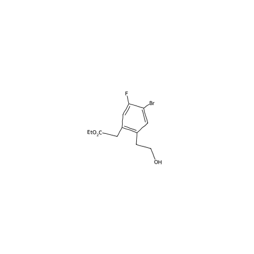 CCOC(=O)Cc1cc(F)c(Br)cc1CCO